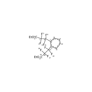 CCOC(=O)C(F)(F)C(F)(F)c1ccccc1C(F)(F)C(F)(F)C(=O)OCC